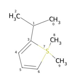 CC(C)C1=CC=CS1(C)C